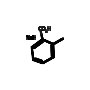 Cc1ccccc1C(=O)O.[NaH]